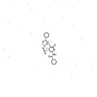 C[C@H](OC(=O)c1ccccc1)[C@](CI)(N=[N+]=[N-])O[C@H](C)n1ccc(NC(=O)c2ccccc2)nc1=O